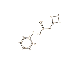 O=C([CH]N1CCC1)OCc1ccccc1